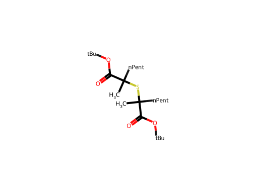 CCCCCC(C)(SC(C)(CCCCC)C(=O)OC(C)(C)C)C(=O)OC(C)(C)C